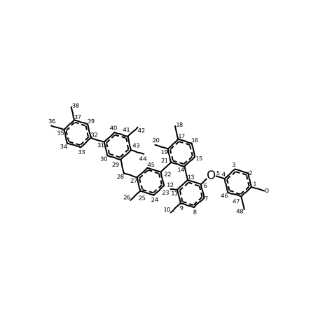 Cc1ccc(Oc2ccc(C)c(C)c2-c2ccc(C)c(C)c2-c2ccc(C)c(Cc3cc(-c4ccc(C)c(C)c4)cc(C)c3C)c2)cc1C